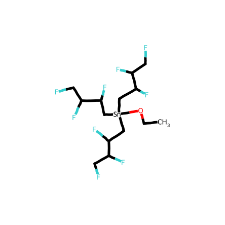 CC[O][Sn]([CH2]C(F)C(F)CF)([CH2]C(F)C(F)CF)[CH2]C(F)C(F)CF